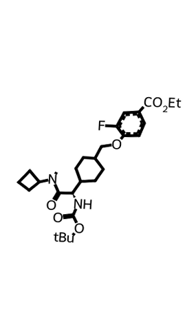 CCOC(=O)c1ccc(OCC2CCC([C@H](NC(=O)OC(C)(C)C)C(=O)N(C)C3CCC3)CC2)c(F)c1